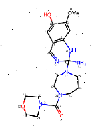 COc1cc2c(cc1O)C=NC(N)(N1CCCN(C(=O)N3CCOCC3)CC1)N2